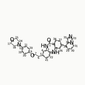 O=C1Nc2cc(CCOc3ccc(N4CCOCC4)cc3)ccc2Nc2cc(-c3cccn4cncc34)ccc21